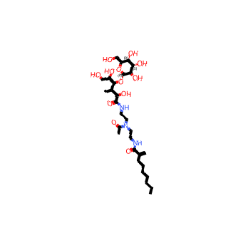 C=C(CCCCCCC)C(=O)NCCN(CCNC(=O)C(O)C(C)C(O[C@@H]1OC(CO)[C@H](O)[C@H](O)C1O)C(O)CO)C(C)=O